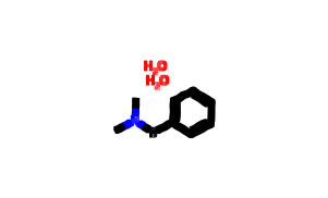 CN(C)[B]c1ccccc1.O.O